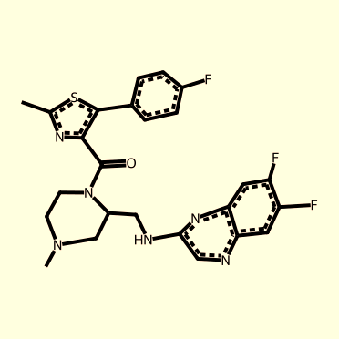 Cc1nc(C(=O)N2CCN(C)CC2CNc2cnc3cc(F)c(F)cc3n2)c(-c2ccc(F)cc2)s1